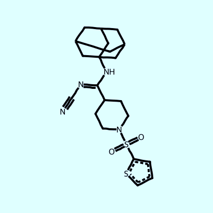 N#CN=C(NC12CC3CC(CC(C3)C1)C2)C1CCN(S(=O)(=O)c2cccs2)CC1